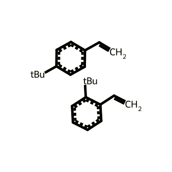 C=Cc1ccc(C(C)(C)C)cc1.C=Cc1ccccc1C(C)(C)C